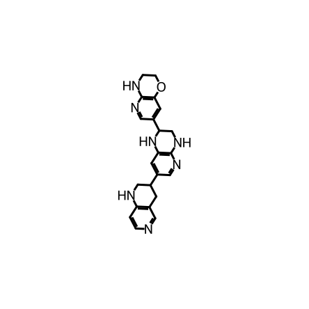 c1cc2c(cn1)CC(c1cnc3c(c1)NC(c1cnc4c(c1)OCCN4)CN3)CN2